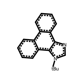 CC(C)(C)n1cnc2c3ccccc3c3ccccc3c21